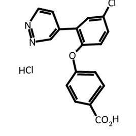 Cl.O=C(O)c1ccc(Oc2ccc(Cl)cc2-c2ccnnc2)cc1